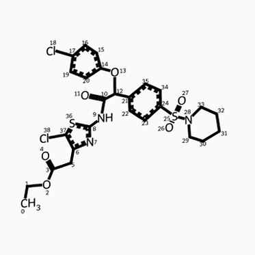 CCOC(=O)Cc1nc(NC(=O)C(Oc2ccc(Cl)cc2)c2ccc(S(=O)(=O)N3CCCCC3)cc2)sc1Cl